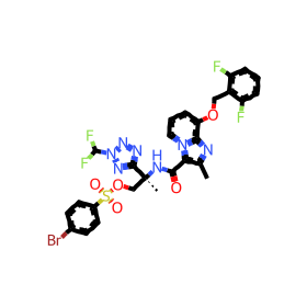 Cc1nc2c(OCc3c(F)cccc3F)cccn2c1C(=O)N[C@@](C)(COS(=O)(=O)c1ccc(Br)cc1)c1nnn(C(F)F)n1